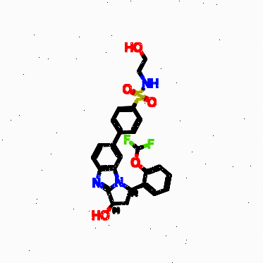 O=S(=O)(NCCO)c1ccc(-c2ccc3nc4n(c3c2)[C@@H](c2ccccc2OC(F)F)C[C@H]4O)cc1